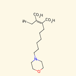 CC(C)CC(C(=O)O)=C(CCCCCCN1CCOCC1)C(=O)O